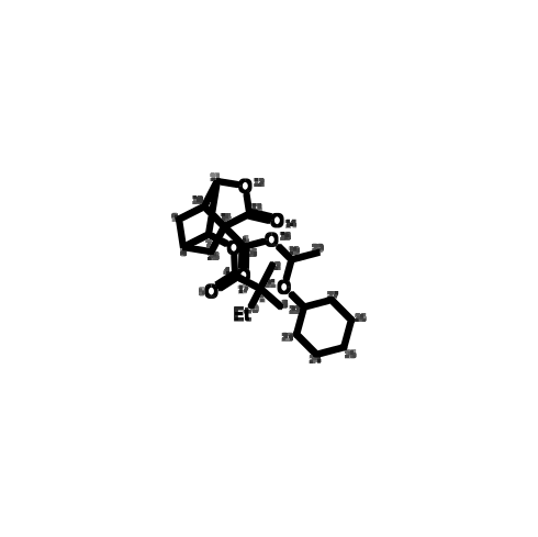 CCC(C)(C)C(=O)OC1C2CC3C1OC(=O)C3(C(=O)OC(C)OC1CCCCC1)C2